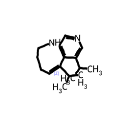 CC(C)/C1=C/CCCNc2cncc(C(C)C)c21